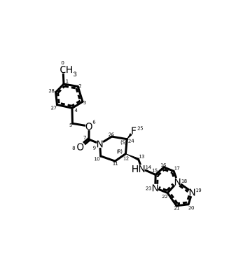 Cc1ccc(COC(=O)N2CC[C@H](CNc3ccn4nccc4n3)[C@H](F)C2)cc1